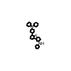 C1=CC(N(c2ccccc2)c2ccc(-c3cccc4c3sc3ccc(Nc5ccccc5)cc34)cc2)=CCC1